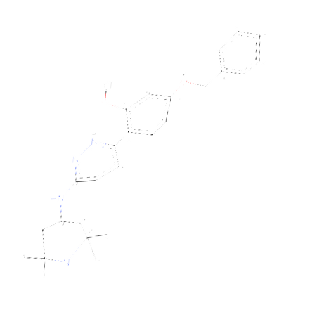 CC1(C)CC(Nc2ccc(-c3ccc(OCc4ccccc4)cc3OC(F)(F)F)nn2)CC(C)(C)N1